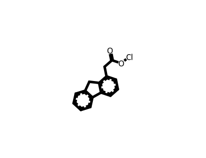 O=C(Cc1cccc2c1Cc1ccccc1-2)OCl